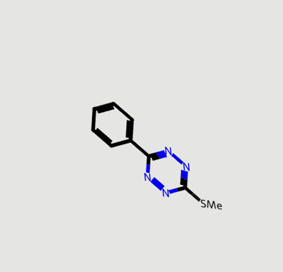 CSc1nnc(-c2ccccc2)nn1